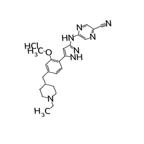 CCN1CCC(Cc2ccc(-c3cc(Nc4cnc(C#N)cn4)n[nH]3)c(OC)c2)CC1.Cl